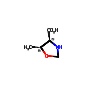 C[C@H]1OCN[C@@H]1C(=O)O